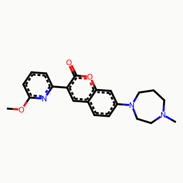 COc1cccc(-c2cc3ccc(N4CCCN(C)CC4)cc3oc2=O)n1